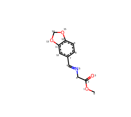 COC(=O)C/N=C/c1ccc2c(c1)OCO2